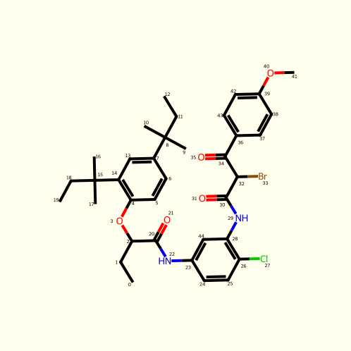 CCC(Oc1ccc(C(C)(C)CC)cc1C(C)(C)CC)C(=O)Nc1ccc(Cl)c(NC(=O)C(Br)C(=O)c2ccc(OC)cc2)c1